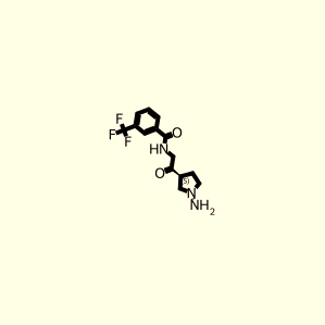 NN1CC[C@H](C(=O)CNC(=O)c2cccc(C(F)(F)F)c2)C1